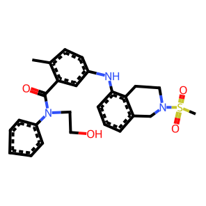 Cc1ccc(Nc2cccc3c2CCN(S(C)(=O)=O)C3)cc1C(=O)N(CCO)c1ccccc1